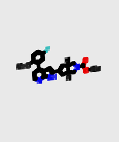 COc1ccc(F)cc1-c1ccnc2[nH]c(C3=C[C@@H]4CN(C(=O)OC(C)(C)C)C[C@@H]4C3)cc12